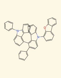 C1=C=Cc2c(c3c(-c4c(-c5ccccc5)ccc5c4c4ccccc4n5-c4cccc5c4oc4ccccc45)cccc3n2-c2ccccc2)C=1